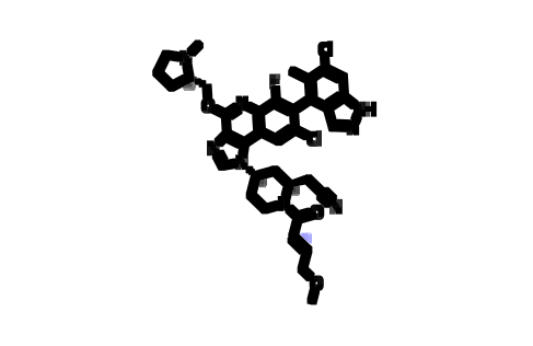 COC/C=C/C(=O)N1CC[C@H](n2cnc3c(OC[C@@H]4CCCN4C)nc4c(F)c(-c5c(C)c(Cl)cc6[nH]ncc56)c(Cl)cc4c32)C[C@H]1CC#N